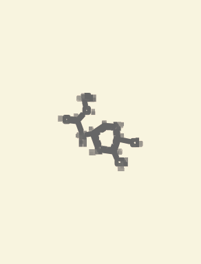 CC(C)(C)OC(=O)Nc1cnc(Cl)c(C#N)n1